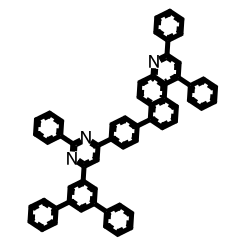 c1ccc(-c2cc(-c3ccccc3)cc(-c3cc(-c4ccc(-c5cccc6c5ccc5nc(-c7ccccc7)cc(-c7ccccc7)c56)cc4)nc(-c4ccccc4)n3)c2)cc1